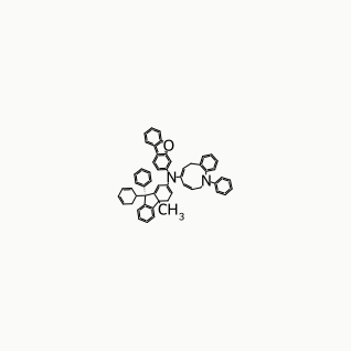 CC12CC=C(N(C3=C/Cc4ccccc4N(c4ccccc4)C/C=C\3)c3ccc4c(c3)oc3ccccc34)C=C1[C@](c1ccccc1)(C1C=CC=CC1)c1ccccc12